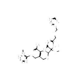 COC1(NC(=O)CSCn2ncnn2)C(=O)N2C(C(=O)O)=C(CSc3nnnn3C)CSC21